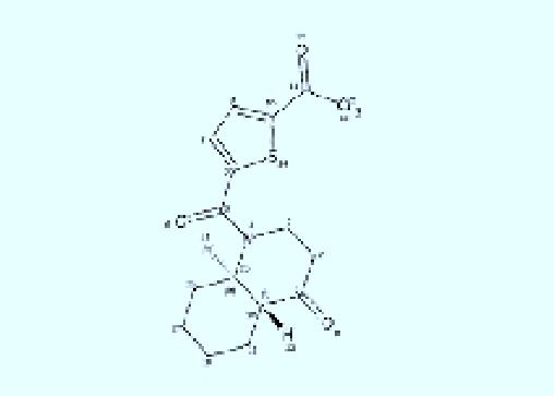 O=C1CCN(C(=O)c2ccc(C(=O)C(F)(F)F)s2)[C@@H]2CCCC[C@@H]12